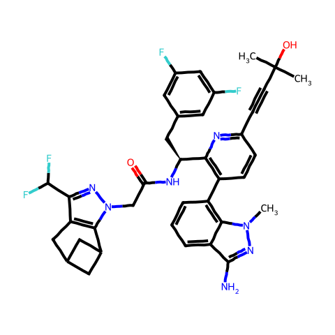 Cn1nc(N)c2cccc(-c3ccc(C#CC(C)(C)O)nc3[C@H](Cc3cc(F)cc(F)c3)NC(=O)Cn3nc(C(F)F)c4c3C3CC(C4)C3)c21